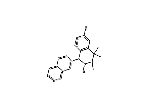 CC1(C)c2cc(Cl)ccc2C(c2cnc3ccccc3c2)N(O)C1(C)C